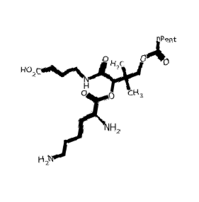 CCCCCC(=O)OCC(C)(C)C(OC(=O)[C@@H](N)CCCCN)C(=O)NCCCC(=O)O